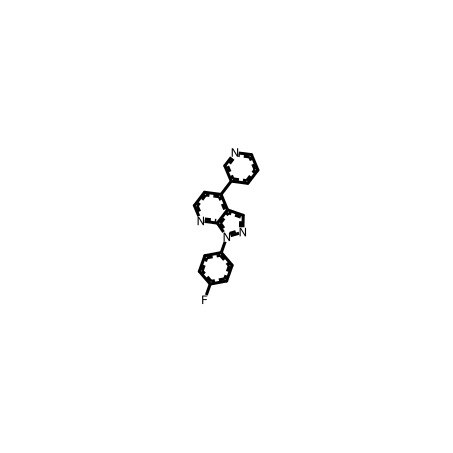 Fc1ccc(-n2ncc3c(-c4cccnc4)ccnc32)cc1